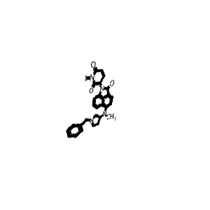 CN(c1ccc2c3c(cccc13)N(C1CCC(=O)N(I)C1=O)C2=O)C1CCN(Cc2ccccc2)C1